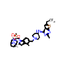 Cc1nc(NC2CCN(Cc3ccc4c(cc(C#N)n4C[C@H](C)N4C5CCC4CN(S(C)(=O)=O)C5)c3C)CC2)c2cc(CC(F)(F)F)sc2n1